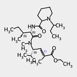 CCOC(=O)/C(C)=C/[C@H](C(C)C)N(C)C(=O)[C@@H](NC(=O)C1CCCCN1C(C)CC)[C@@H](C)CC